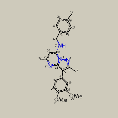 COc1ccc(-c2c(C)nn3c(NCc4ccc(C)cc4)cc(C)nc23)cc1OC